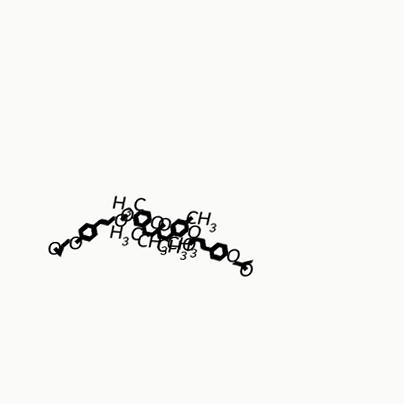 Cc1cc2c(cc1OOC/C=C/c1ccc(OCC3CO3)cc1)C(C)(C)CC1(CC(C)(C)c3cc(OC(=O)/C=C/c4ccc(OCC5CO5)cc4)c(C)cc3O1)O2